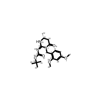 COc1ccc(CN2C(=O)C[C@@H](C)N/C2=N/C(=O)OC(C)(C)C)c(OC)c1